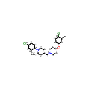 Cc1cc(OC2CCN(CC3CCN(c4ccc(Cl)cc4C(=O)O)CC3)CC2)ccc1Cl